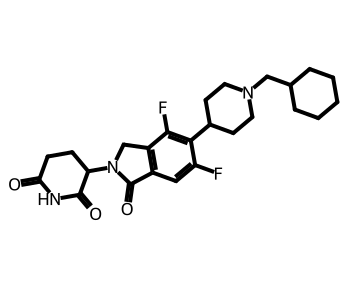 O=C1CCC(N2Cc3c(cc(F)c(C4CCN(CC5CCCCC5)CC4)c3F)C2=O)C(=O)N1